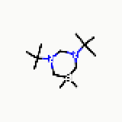 CC(C)(C)N1CN(C(C)(C)C)C[Si](C)(C)C1